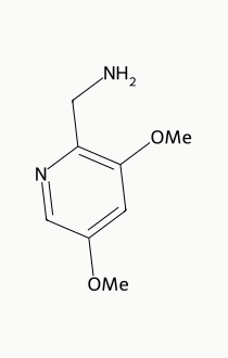 COc1cnc(CN)c(OC)c1